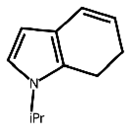 CC(C)n1ccc2c1CCC=C2